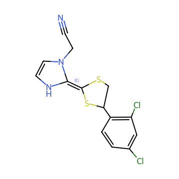 N#CCN1C=CN/C1=C1/SCC(c2ccc(Cl)cc2Cl)S1